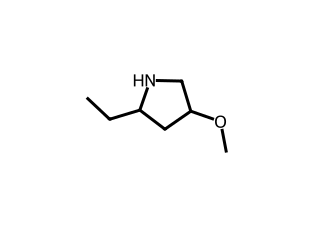 CCC1CC(OC)CN1